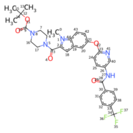 Cn1c(C(=O)N2CCN(C(=O)OC(C)(C)C)CC2)cc2cc(Oc3ccc(NC(=O)c4ccc(C(F)(F)F)cc4)cn3)ccc21